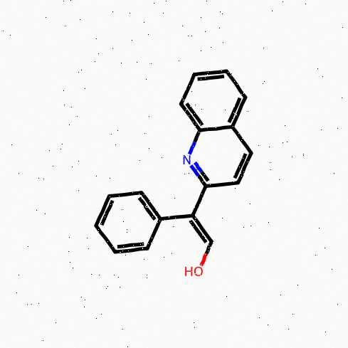 OC=C(c1ccccc1)c1ccc2ccccc2n1